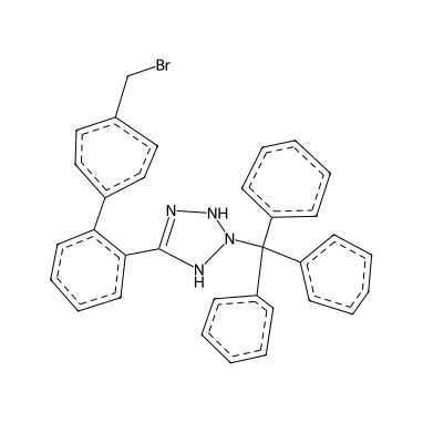 BrCc1ccc(-c2ccccc2C2=NNN(C(c3ccccc3)(c3ccccc3)c3ccccc3)N2)cc1